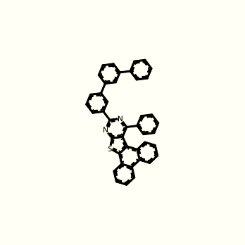 c1ccc(-c2cccc(-c3cccc(-c4nc(-c5ccccc5)c5c(n4)sc4c6ccccc6c6ccccc6c45)c3)c2)cc1